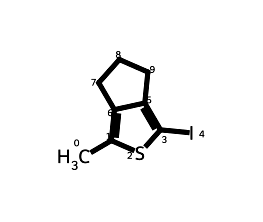 Cc1sc(I)c2c1CCC2